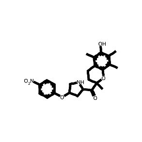 Cc1c(C)c2c(c(C)c1O)CCC(C)(C(=O)C1CC(Oc3ccc([N+](=O)[O-])cc3)CN1)O2